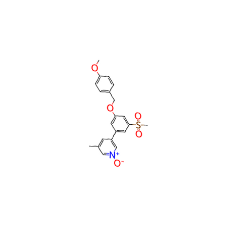 COc1ccc(COc2cc(-c3cc(C)c[n+]([O-])c3)cc(S(C)(=O)=O)c2)cc1